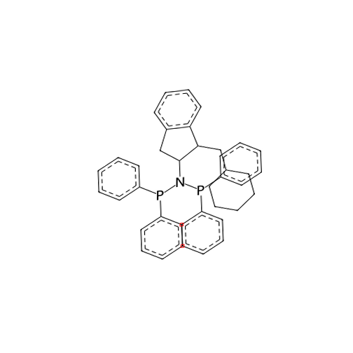 c1ccc(P(c2ccccc2)N(C2Cc3ccccc3C2CC2CCCCC2)P(c2ccccc2)c2ccccc2)cc1